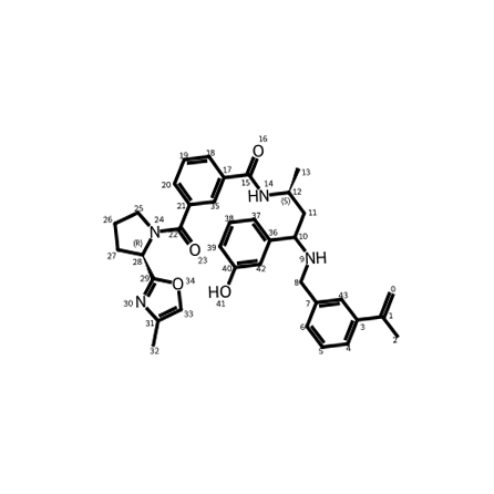 C=C(C)c1cccc(CNC(C[C@H](C)NC(=O)c2cccc(C(=O)N3CCC[C@@H]3c3nc(C)co3)c2)c2cccc(O)c2)c1